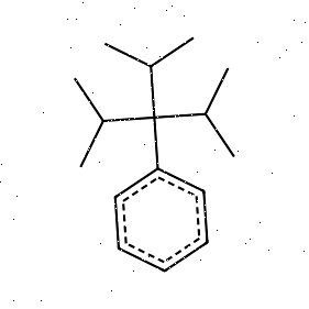 CC(C)C(c1ccccc1)(C(C)C)C(C)C